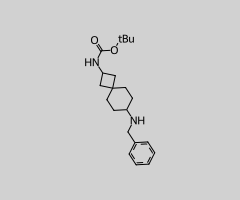 CC(C)(C)OC(=O)NC1CC2(CCC(NCc3ccccc3)CC2)C1